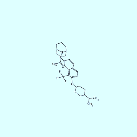 CC(C)C1CCC(Oc2ccc3ccc(CN4C5CCCC4CC(C(=O)O)C5)cc3c2C(F)(F)F)CC1